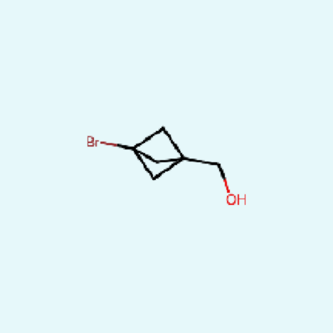 OCC12CC(Br)(C1)C2